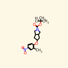 Cc1cc([N+](=O)[O-])ccc1OC1CC2CN(C(=O)OC(C)(C)C)CC2C1